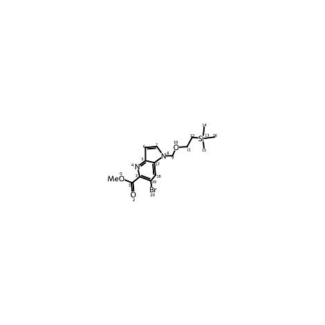 COC(=O)c1nc2ccn(COCC[Si](C)(C)C)c2cc1Br